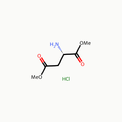 COC(=O)C[C@H](N)C(=O)OC.Cl